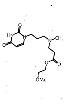 COCCOC(=O)CCN(C)CCCn1ccc(=O)[nH]c1=O